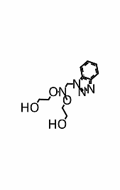 OCCON(Cn1nnc2ccccc21)OCCO